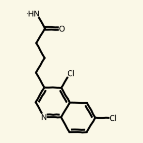 [NH]C(=O)CCCc1cnc2ccc(Cl)cc2c1Cl